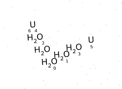 O.O.O.O.O.[U].[U]